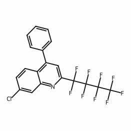 FC(F)(F)C(F)(F)C(F)(F)C(F)(F)c1cc(-c2ccccc2)c2ccc(Cl)cc2n1